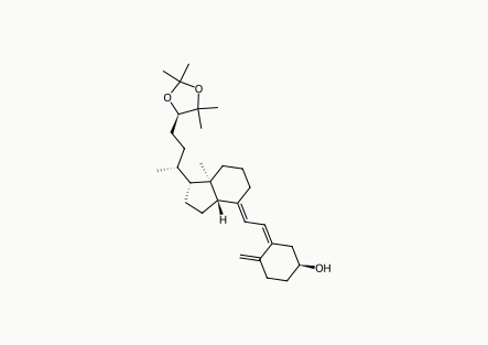 C=C1CC[C@H](O)C/C1=C/C=C1\CCC[C@]2(C)[C@@H]([C@H](C)CC[C@H]3OC(C)(C)OC3(C)C)CC[C@@H]12